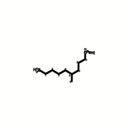 BCCCCC(C)CCCCCCCC